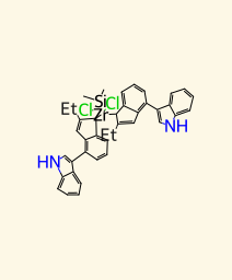 CCC1=Cc2c(-c3c[nH]c4ccccc34)cccc2[CH]1[Zr]([Cl])([Cl])([CH]1C(CC)=Cc2c(-c3c[nH]c4ccccc34)cccc21)=[Si](C)C